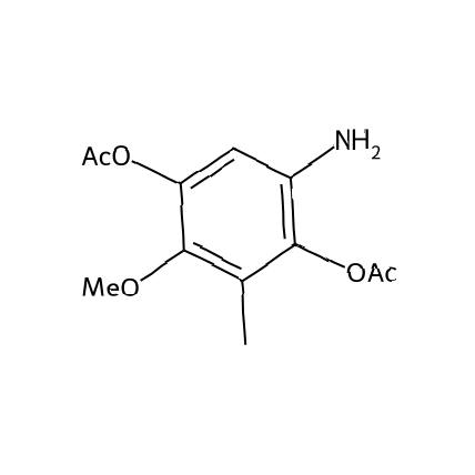 COc1c(OC(C)=O)cc(N)c(OC(C)=O)c1C